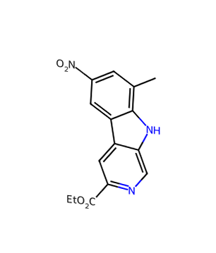 CCOC(=O)c1cc2c(cn1)[nH]c1c(C)cc([N+](=O)[O-])cc12